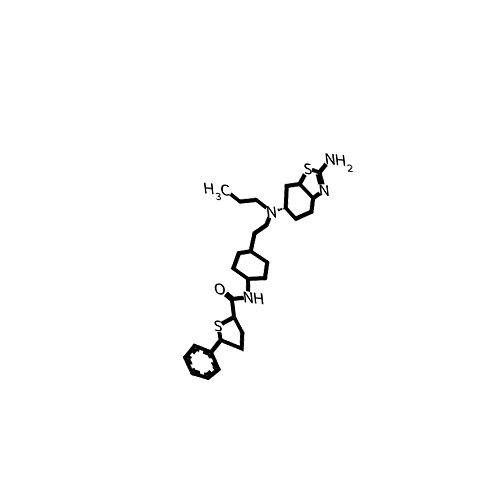 CCCN(CCC1CCC(NC(=O)C2CCC(c3ccccc3)S2)CC1)[C@H]1CCC2N=C(N)SC2C1